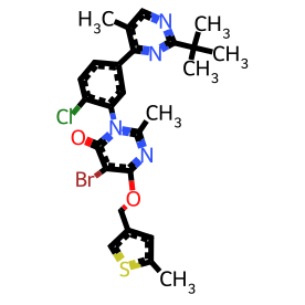 Cc1cc(COc2nc(C)n(-c3cc(-c4nc(C(C)(C)C)ncc4C)ccc3Cl)c(=O)c2Br)cs1